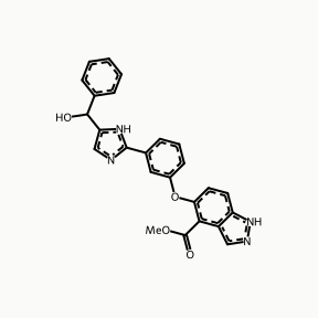 COC(=O)c1c(Oc2cccc(-c3ncc(C(O)c4ccccc4)[nH]3)c2)ccc2[nH]ncc12